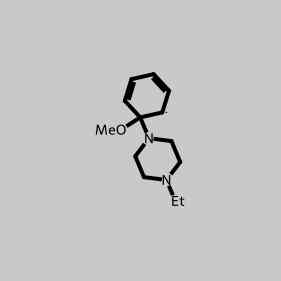 CCN1CCN(C2(OC)[CH]C=CC=C2)CC1